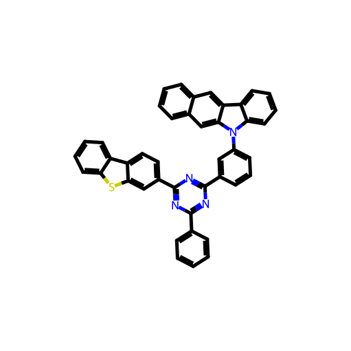 c1ccc(-c2nc(-c3cccc(-n4c5ccccc5c5cc6ccccc6cc54)c3)nc(-c3ccc4c(c3)sc3ccccc34)n2)cc1